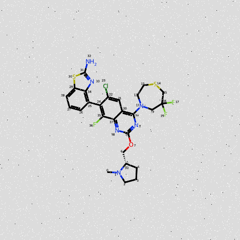 CN1CCC[C@H]1COc1nc(N2CCSCC(F)(F)C2)c2cc(Cl)c(-c3cccc4sc(N)nc34)c(F)c2n1